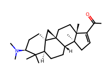 CC(=O)C1=CC[C@@]2(C)[C@@H]3CC[C@H]4C(C)(C)[C@@H](N(C)C)CC[C@@]45C[C@@]35CC[C@]12C